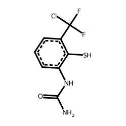 NC(=O)Nc1cccc(C(F)(F)Cl)c1S